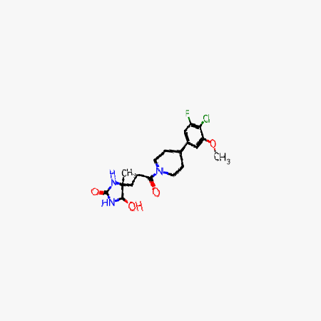 COc1cc(C2CCN(C(=O)CCC3(C)NC(=O)NC3O)CC2)cc(F)c1Cl